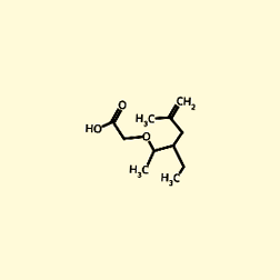 C=C(C)CC(CC)C(C)OCC(=O)O